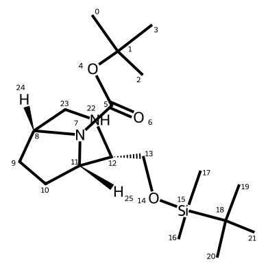 CC(C)(C)OC(=O)N1[C@@H]2CC[C@H]1[C@@H](CO[Si](C)(C)C(C)(C)C)NC2